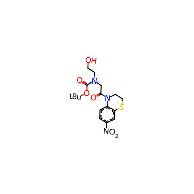 CC(C)(C)OC(=O)N(CCO)CC(=O)N1CCSc2cc([N+](=O)[O-])ccc21